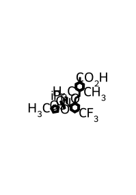 Cc1ccc(S(=O)(=O)N(CC(C)C)c2ccc(C(F)(F)F)cc2OCc2c(C)cc(C(=O)O)cc2C)o1